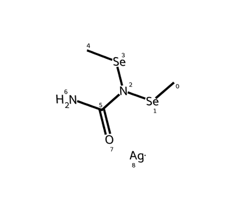 C[Se]N([Se]C)C(N)=O.[Ag]